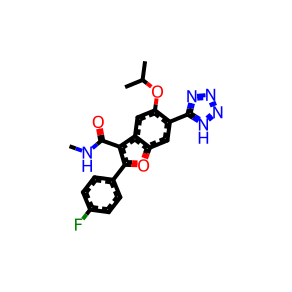 CNC(=O)c1c(-c2ccc(F)cc2)oc2cc(-c3nnn[nH]3)c(OC(C)C)cc12